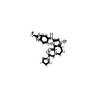 CSc1nc2ccc(N/C(=C/[N+](=O)[O-])N[C@H]3CCCCN(CC(=O)N4CCCC4)C3=O)cc2s1